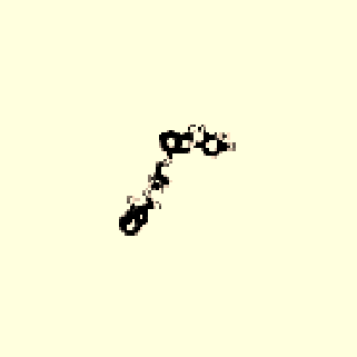 CC1C2CC3CC(C2)CC1(C(=O)Oc1nc(COc2cccc4c2CN(C2CCC(=O)NC2=O)C4=O)cs1)C3